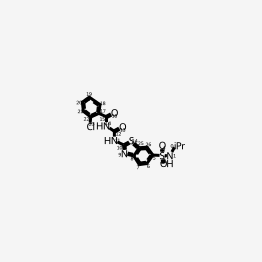 CC(C)NS(=O)(=O)c1ccc2nc(NC(=O)NC(=O)c3ccccc3Cl)sc2c1